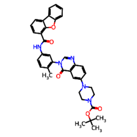 Cc1ccc(NC(=O)c2cccc3c2oc2ccccc23)cc1-n1cnc2ccc(N3CCN(C(=O)OC(C)(C)C)CC3)cc2c1=O